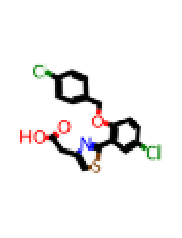 O=C(O)Cc1csc(-c2cc(Cl)ccc2OCc2ccc(Cl)cc2)n1